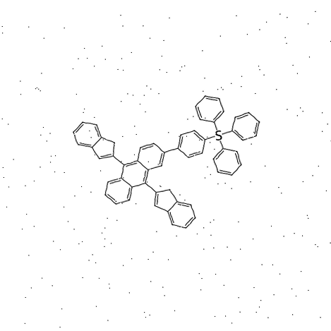 C1=C(c2c3ccccc3c(C3=Cc4ccccc4C3)c3cc(-c4ccc(S(c5ccccc5)(c5ccccc5)c5ccccc5)cc4)ccc23)Cc2ccccc21